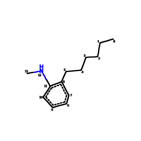 CCCCCCc1ccccc1NC